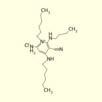 CCCCCCNc1cc(N)[n+](CCCCCC)c(NCCCC)c1C#N.[Cl-]